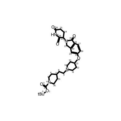 CC(C)(C)OC(=O)N1CCC(CCN2CCC(Oc3ccc4c(c3)CN(C3CCC(=O)NC3=O)C4=O)CC2)CC1